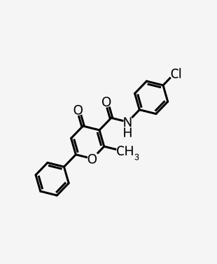 Cc1oc(-c2ccccc2)cc(=O)c1C(=O)Nc1ccc(Cl)cc1